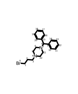 BrCCCN1CCN(C(c2ccccc2)c2ccccc2)CC1